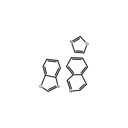 [c]1cncc2ccccc12.[c]1nc2ccccc2o1.[c]1ncco1